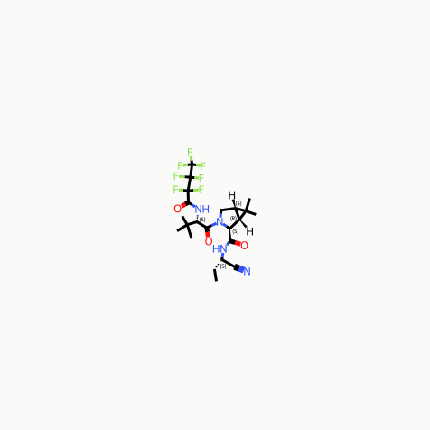 CC[C@@H](C#N)NC(=O)[C@@H]1[C@@H]2[C@H](CN1C(=O)[C@@H](NC(=O)C(F)(F)C(F)(F)C(F)(F)F)C(C)(C)C)C2(C)C